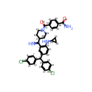 N=C(c1cc(C(c2ccc(Cl)cc2)c2ccc(Cl)cc2)ccc1NC1CC1)C1CCN(C(=O)c2ccc(C(N)=O)cc2)CC1